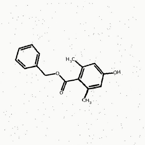 Cc1cc(O)cc(C)c1C(=O)OCc1ccccc1